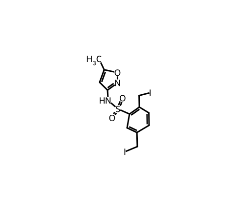 Cc1cc(NS(=O)(=O)c2cc(CI)ccc2CI)no1